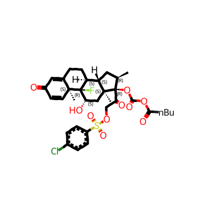 CCCCC(=O)OC(=O)O[C@]1(C(=O)COS(=O)(=O)c2ccc(Cl)cc2)[C@H](C)C[C@H]2[C@@H]3CCC4=CC(=O)C=C[C@]4(C)[C@@]3(F)[C@@H](O)C[C@@]21C